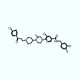 C[C@H]1CN(c2ncc(C(=O)NCc3ccc(F)c(F)c3)cc2Cl)CCN1C1CCN(CCC(=O)c2ccc(Cl)cc2)CC1